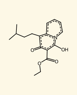 CCOC(=O)c1c(O)n2ccccc2c(CCC(C)C)c1=O